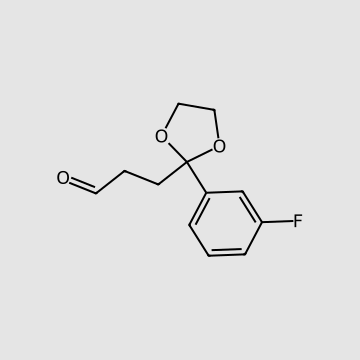 O=CCCC1(c2cccc(F)c2)OCCO1